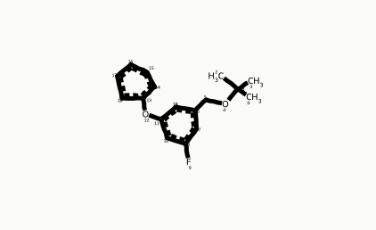 CC(C)(C)OCc1cc(F)cc(Oc2ccccc2)c1